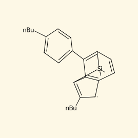 CCCCC1=C2c3c(ccc(c3-c3ccc(CCCC)cc3)[Si]2(C)C)[CH]1